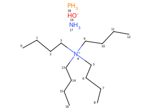 CCCC[N+](CCCC)(CCCC)CCCC.N.P.[OH-]